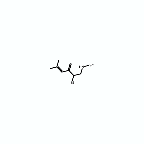 C=C(C=C(C)C)C(CC)CNCCC